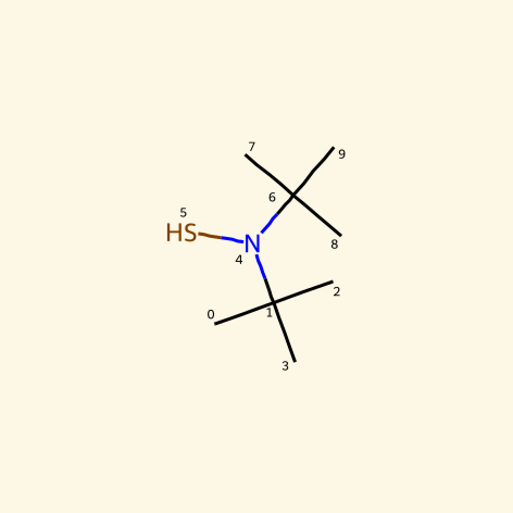 CC(C)(C)N(S)C(C)(C)C